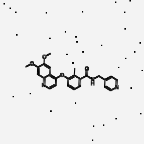 COc1cc2nccc(Oc3cccc(C(=O)NCc4ccncc4)c3C)c2cc1OC